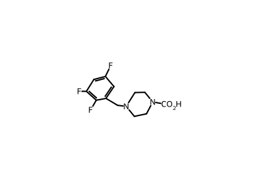 O=C(O)N1CCN(Cc2cc(F)cc(F)c2F)CC1